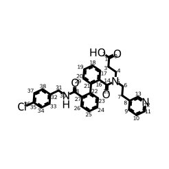 O=C(O)CCN(CCc1cccnc1)C(=O)c1ccccc1-c1ccccc1C(=O)NCc1ccc(Cl)cc1